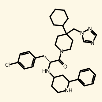 O=C([C@@H](Cc1ccc(Cl)cc1)NC1CCNC(c2ccccc2)C1)N1CCC(Cn2cncn2)(C2CCCCC2)CC1